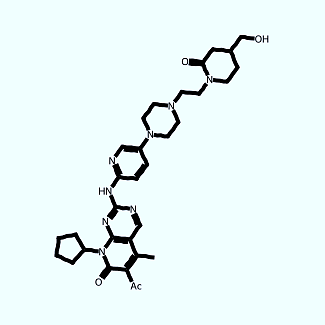 CC(=O)c1c(C)c2cnc(Nc3ccc(N4CCN(CCN5CCC(CO)CC5=O)CC4)cn3)nc2n(C2CCCC2)c1=O